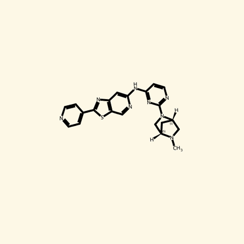 CN1C[C@@H]2C[C@H]1CN2c1nccc(Nc2cc3nc(-c4ccncc4)sc3cn2)n1